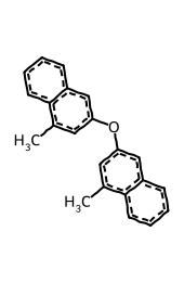 Cc1cc(Oc2cc(C)c3ccccc3c2)cc2ccccc12